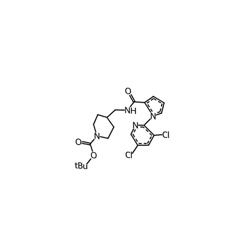 CC(C)(C)OC(=O)N1CCC(CNC(=O)c2cccn2-c2ncc(Cl)cc2Cl)CC1